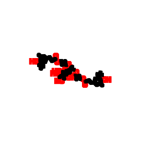 Cc1cc(CCC(=O)OCC(C)(C)C2OCC3(CO2)COC(C(C)(C)COC(=O)CCc2cc(C)c(O)c(C(C)(C)C)c2)OC3C(O)C(CO)(CO)CO)cc(C(C)(C)C)c1O